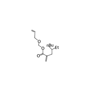 C=CCOCOC(=O)C(=C)CC(CC)CCCC